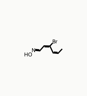 C\C=C/C(Br)=C\C=N\O